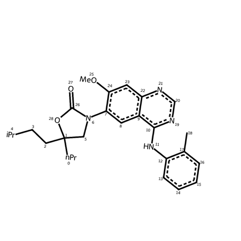 CCCC1(CCC(C)C)CN(c2cc3c(Nc4ccccc4C)ncnc3cc2OC)C(=O)O1